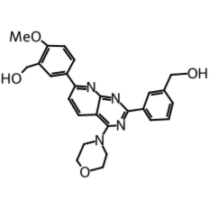 COc1ccc(-c2ccc3c(N4CCOCC4)nc(-c4cccc(CO)c4)nc3n2)cc1CO